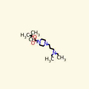 CCN(CC)CCCN1CCN(C(=O)OC(C)(C)C)CC1